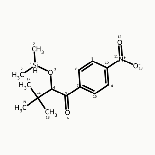 C[SiH](C)OC(C(=O)c1ccc([N+](=O)[O-])cc1)C(C)(C)C